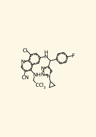 N#Cc1cnc2c(Cl)cc(NC(c3ccc(F)cc3)c3cn(C4CC4)nn3)cc2c1NCC(Cl)(Cl)Cl